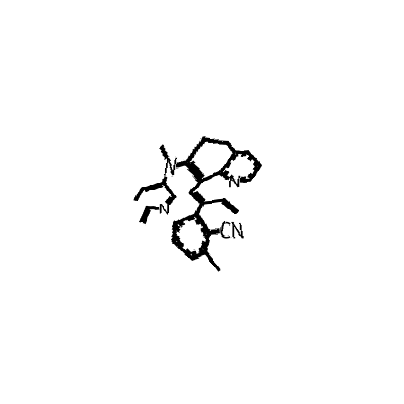 C=C/N=C\C(=C/C)N(C)C1=C(/C=C(\C=C)c2cccc(C)c2C#N)c2ncccc2CC1